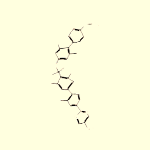 CCCCCc1cnc(-c2ccc(-c3cc(F)c(C(F)(F)Oc4cc(F)c(-c5ccc(OC(F)(F)F)cc5)c(F)c4)c(F)c3)c(F)c2)nc1